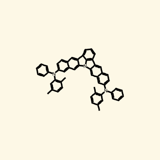 Cc1ccc(C)c(N(c2ccccc2)c2ccc3cc4c5cccc6c7cc8ccc(N(c9ccccc9)c9cc(C)ccc9C)cc8cc7n(c4cc3c2)c56)c1